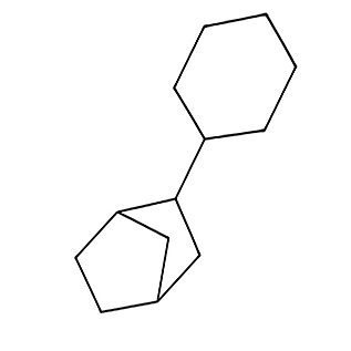 C1CCC(C2CC3CCC2C3)CC1